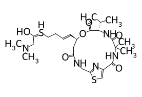 CC(C)[C@@H]1NC(=O)C(C)(C)NC(=O)c2csc(n2)CNC(=O)C[C@@H](/C=C/CC/[SH]=C(/O)CN(C)C)OC1=O